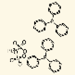 O=S(=O)([O-])OS(=O)(=O)[O-].[Pt+2].c1ccc(P(c2ccccc2)c2ccccc2)cc1.c1ccc(P(c2ccccc2)c2ccccc2)cc1